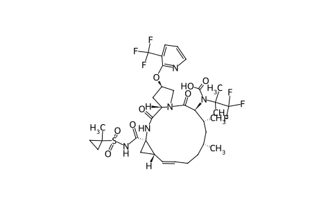 C[C@@H]1CCC=C[C@@H]2C[C@@]2(C(=O)NS(=O)(=O)C2(C)CC2)NC(=O)[C@@H]2C[C@@H](Oc3ncccc3C(F)(F)F)CN2C(=O)[C@@H](N(C(=O)O)C(C)(C)C(F)(F)F)[C@H](C)C1